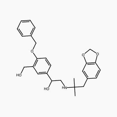 CC(C)(Cc1ccc2c(c1)OCO2)NCC(O)c1ccc(OCc2ccccc2)c(CO)c1